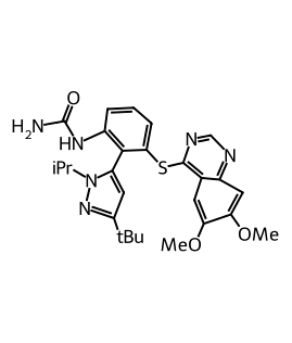 COc1cc2ncnc(Sc3cccc(NC(N)=O)c3-c3cc(C(C)(C)C)nn3C(C)C)c2cc1OC